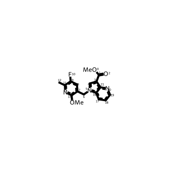 COC(=O)c1cn(Cc2cc(F)c(C)nc2OC)c2cccnc12